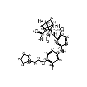 CC1(C)[C@H]2C[C@H](C(N)=O)[C@](C)(Nc3nc(Nc4ccc(OCCN5CCCC5)c(F)c4)ncc3Cl)[C@@H]1C2